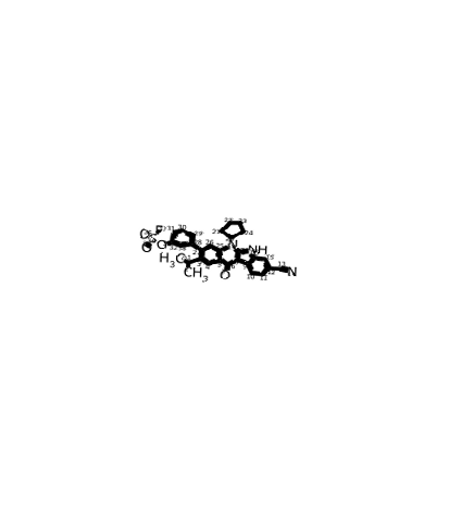 CC(C)c1cc2c(=O)c3c4ccc(C#N)cc4[nH]c3n(C3CCCC3)c2cc1-c1cccc(OS(=O)(=O)F)c1